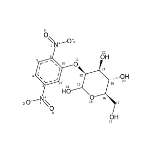 O=[N+]([O-])c1ccc([N+](=O)[O-])c(O[C@@H]2C(O)O[C@H](CO)[C@@H](O)[C@@H]2O)c1